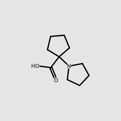 O=C(O)C1(N2CCCC2)CCCC1